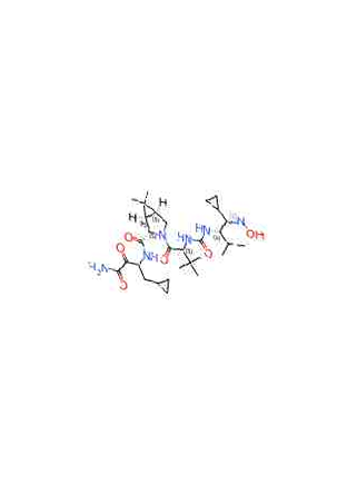 CC(C)[C@H](NC(=O)N[C@H](C(=O)N1C[C@H]2[C@@H]([C@H]1C(=O)NC(CC1CC1)C(=O)C(N)=O)C2(C)C)C(C)(C)C)/C(=N\O)C1CC1